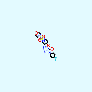 O=C(NOC1CCN(S(=O)(=O)N2CCOCC2)CC1)Nc1ccc(F)cc1